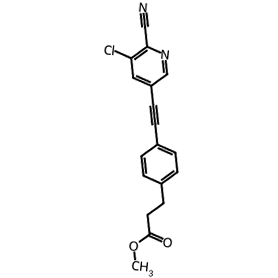 COC(=O)CCc1ccc(C#Cc2cnc(C#N)c(Cl)c2)cc1